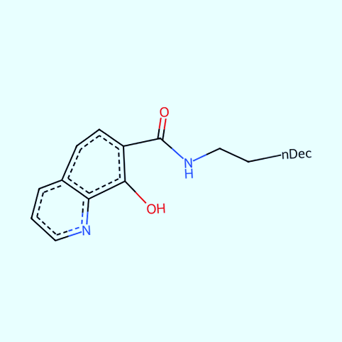 CCCCCCCCCCCCNC(=O)c1ccc2cccnc2c1O